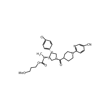 COCCCOC(=O)N(C)[C@@H]1CN(C(=O)C2CCN(c3ccc(C#N)cn3)CC2)C[C@H]1c1ccc(Cl)cc1